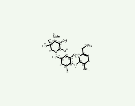 CNCC1=CC[C@@H](N)[C@@H](O[C@H]2[C@H](O)[C@@H](O[C@H]3OC[C@](C)(O)[C@H](NC)[C@H]3O)[C@H](N)C[C@@H]2C)O1